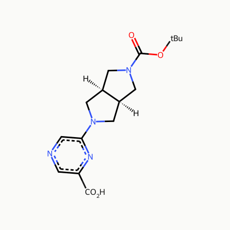 CC(C)(C)OC(=O)N1C[C@@H]2CN(c3cncc(C(=O)O)n3)C[C@@H]2C1